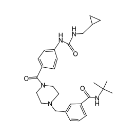 CC(C)(C)NC(=O)c1cccc(CN2CCN(C(=O)c3ccc(NC(=O)NCC4CC4)cc3)CC2)c1